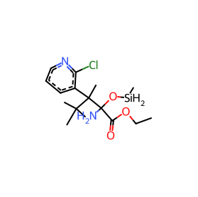 CCOC(=O)C(N)(O[SiH2]C)C(C)(c1cccnc1Cl)C(C)(C)C